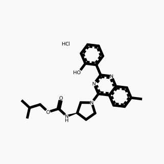 Cc1ccc2c(N3CC[C@@H](NC(=O)OCC(C)C)C3)nc(-c3ccccc3O)nc2c1.Cl